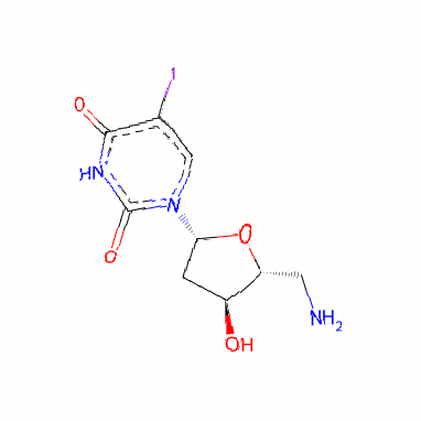 NC[C@H]1O[C@@H](n2cc(I)c(=O)[nH]c2=O)C[C@@H]1O